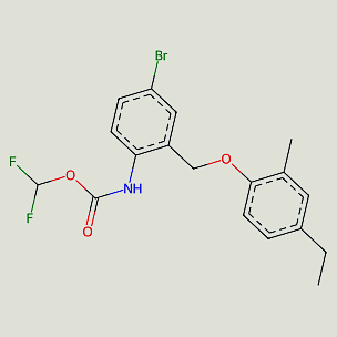 CCc1ccc(OCc2cc(Br)ccc2NC(=O)OC(F)F)c(C)c1